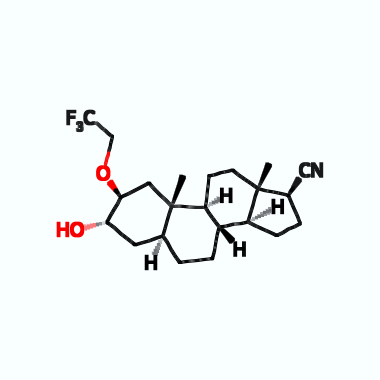 C[C@]12C[C@H](OCC(F)(F)F)[C@@H](O)C[C@@H]1CC[C@@H]1[C@@H]2CC[C@]2(C)[C@@H](C#N)CC[C@@H]12